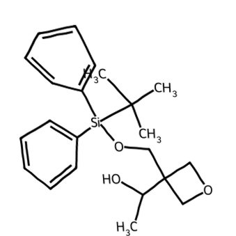 CC(O)C1(CO[Si](c2ccccc2)(c2ccccc2)C(C)(C)C)COC1